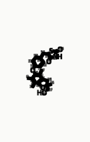 Cc1c(C)c2c(c(C)c1Oc1ccc(CC3SC(=O)NC3=O)cc1)CC(C)(CO)O2